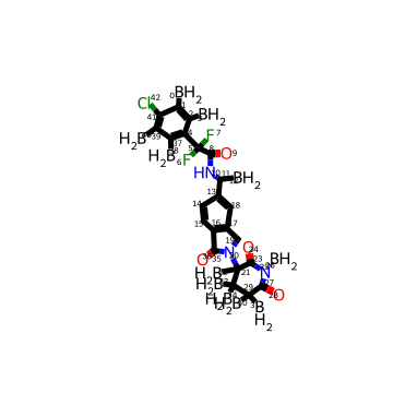 Bc1c(B)c(C(F)(F)C(=O)NC(B)c2ccc3c(c2)CN(C2(B)C(=O)N(B)C(=O)C(B)(B)C2(B)B)C3=O)c(B)c(B)c1Cl